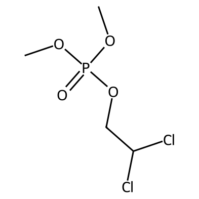 COP(=O)(OC)OCC(Cl)Cl